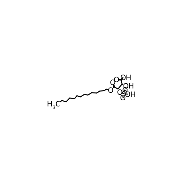 CCCCCCCCCCCCCCOC(=O)C(OS(=O)(=O)O)C(O)C(=O)O